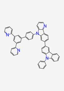 c1ccc(-n2c3ccccc3c3cc(-c4ccc5c6ncccc6n(-c6ccc(-c7cc(-c8ccccn8)cc(-c8ccccn8)c7)cc6)c5c4)ccc32)cc1